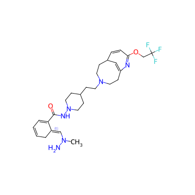 CN(N)/C=C1\CC=CC=C1C(=O)NN1CCC(CCN2CCC3=CC(C=CC(OCC(F)(F)F)=N3)CC2)CC1